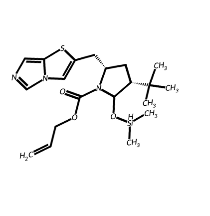 C=CCOC(=O)N1C(O[SiH](C)C)[C@@H](C(C)(C)C)C[C@H]1Cc1cn2cncc2s1